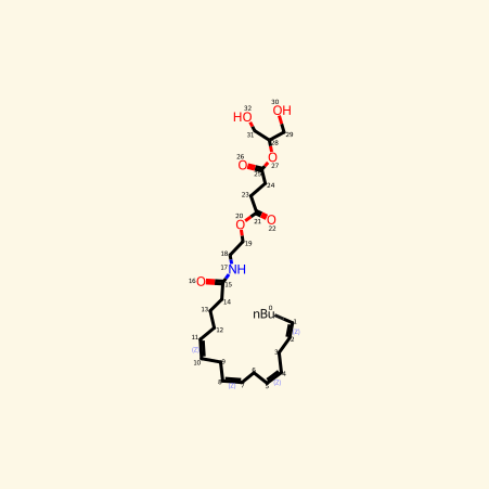 CCCC/C=C\C/C=C\C/C=C\C/C=C\CCCC(=O)NCCOC(=O)CCC(=O)OC(CO)CO